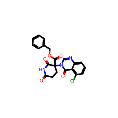 O=C1CCC(C(=O)OCc2ccccc2)(n2cnc3cccc(Cl)c3c2=O)C(=O)N1